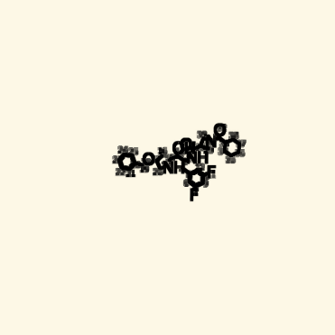 O=C(N[C@@H](Cc1cc(F)cc(F)c1)[C@H](O)[C@H]1C[C@@H](OCc2ccccc2)CN1)C1CN(C(=O)C2CCCCC2)C1